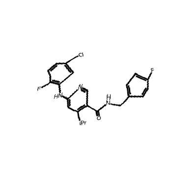 CC(C)c1cc(Nc2cc(Cl)ccc2F)ncc1C(=O)NCc1ccc(F)cc1